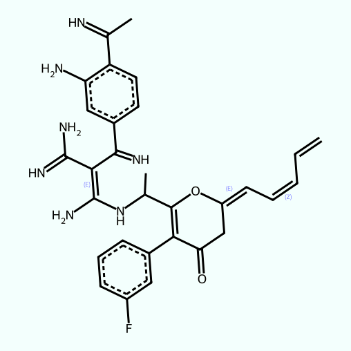 C=C/C=C\C=C1/CC(=O)C(c2cccc(F)c2)=C(C(C)N/C(N)=C(/C(=N)N)C(=N)c2ccc(C(C)=N)c(N)c2)O1